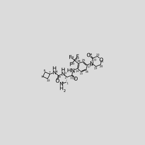 NC[C@H](NC(=O)NC1CCC1)C(=O)Nc1ccc(N2CCOCC2=O)cc1C(F)(F)F